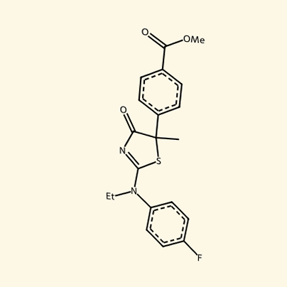 CCN(C1=NC(=O)C(C)(c2ccc(C(=O)OC)cc2)S1)c1ccc(F)cc1